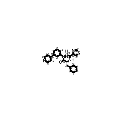 CC(N[C@@H](Cc1ccccc1)C(=O)Nc1cccc(-c2ccncc2)c1)c1cscn1